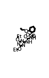 C=CCOc1ccccc1S(=O)(=O)NC(=O)Nc1nc(OCC)nc(OCC)n1